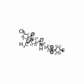 COc1ccc(Cl)cc1C(=O)N1CCC[C@H](C(=O)NCC/C=C/S(=O)(=O)c2ccc(F)cc2)C1